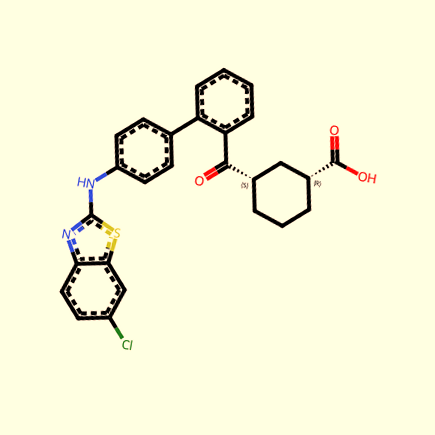 O=C(O)[C@@H]1CCC[C@H](C(=O)c2ccccc2-c2ccc(Nc3nc4ccc(Cl)cc4s3)cc2)C1